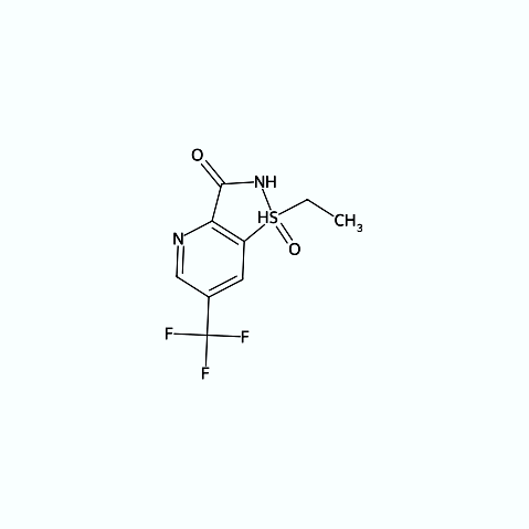 CC[SH]1(=O)NC(=O)c2ncc(C(F)(F)F)cc21